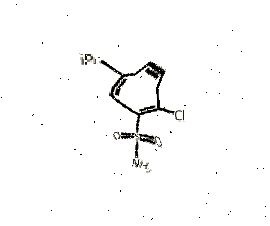 CC(C)c1ccc(Cl)c(S(N)(=O)=O)c1